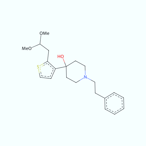 COC(Cc1sccc1C1(O)CCN(CCc2ccccc2)CC1)OC